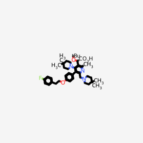 Cc1nc(CN2CCC(C)(C)CC2)c(-c2ccc(OCCc3ccc(F)cc3)cc2)c(N2CCC(C)(C)CC2)c1C(OC(C)(C)C)C(=O)O